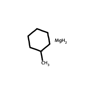 C[C]1CCCCC1.[MgH2]